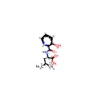 CC(C)C[C@@H](NC(=O)c1ncccc1O)C(=O)O